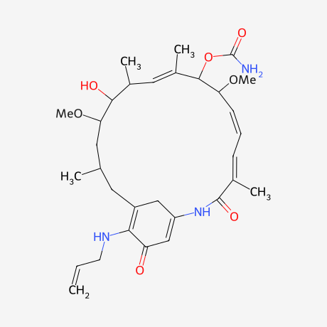 C=CCNC1=C2CC(=CC1=O)NC(=O)/C(C)=C/C=C\C(OC)C(OC(N)=O)/C(C)=C/C(C)C(O)C(OC)CC(C)C2